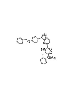 COC(=O)[C@H](Cc1ccccc1)NC(=O)c1ccn2ncc(-c3ccc(OCc4ccccc4)cc3)c2n1